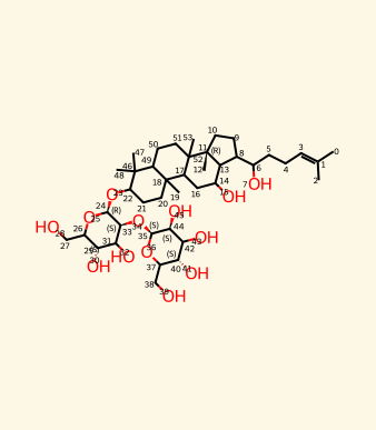 CC(C)=CCCC(O)C1CC[C@]2(C)C1C(O)CC1C3(C)CCC(O[C@@H]4OC(CO)[C@@H](O)C(O)[C@@H]4O[C@@H]4OC(CO)[C@@H](O)C(O)[C@@H]4O)C(C)(C)C3CCC12C